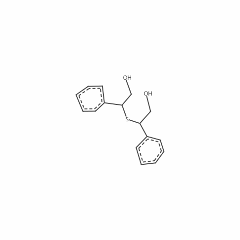 OCC(SC(CO)c1ccccc1)c1ccccc1